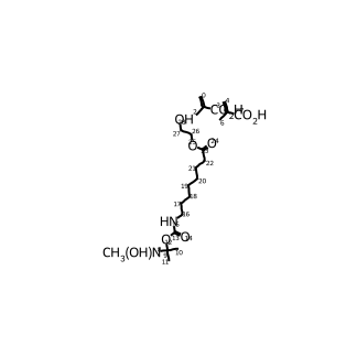 C=C(C)C(=O)O.C=C(C)C(=O)O.CN(O)C(C)(C)OC(=O)NCCCCCCCC(=O)OCCO